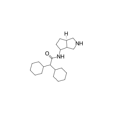 O=C(NC1CC[C@H]2CNCC12)C(C1CCCCC1)C1CCCCC1